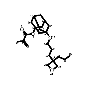 C=C(C)C(=O)OC12CC3CC(CC(OCCCC4(CCC)COC4)(C3)C1)C2